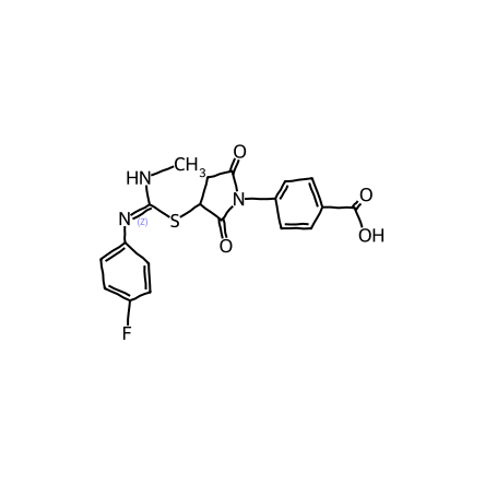 CN/C(=N/c1ccc(F)cc1)SC1CC(=O)N(c2ccc(C(=O)O)cc2)C1=O